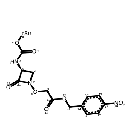 CC(C)(C)OC(=O)N[C@H]1CN(OCC(=O)OCc2ccc([N+](=O)[O-])cc2)C1=O